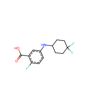 O=C(O)c1cc(NC2CCC(F)(F)CC2)ccc1F